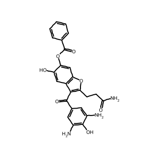 NC(=O)CCc1oc2cc(OC(=O)c3ccccc3)c(O)cc2c1C(=O)c1cc(N)c(O)c(N)c1